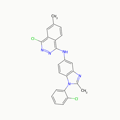 Cc1ccc2c(Nc3ccc4c(c3)nc(C)n4-c3ccccc3Cl)nnc(Cl)c2c1